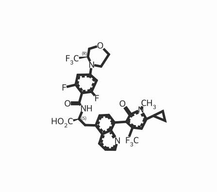 Cn1c(C2CC2)cc(C(F)(F)F)c(-c2ccc(C[C@H](NC(=O)c3c(F)cc(N4CCOC[C@@H]4C(F)(F)F)cc3F)C(=O)O)c3cccnc23)c1=O